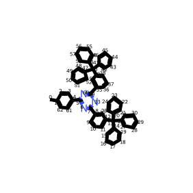 Cc1ccc(-c2nc(-c3cccc(C(c4ccccc4)(c4ccccc4)c4ccccc4)c3)nc(-c3cccc(C(c4ccccc4)(c4ccccc4)c4ccccc4)c3)n2)cc1